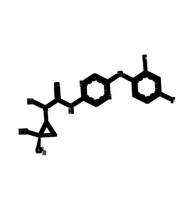 CCN(C(=O)Nc1cnc(Oc2ccc(F)cc2F)cn1)C1C[C@]1(O)C(F)(F)F